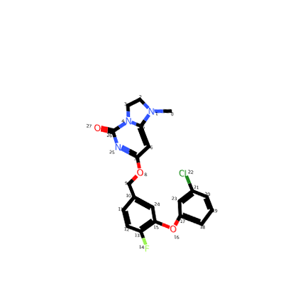 CN1CCn2c1cc(OCc1ccc(F)c(Oc3cccc(Cl)c3)c1)nc2=O